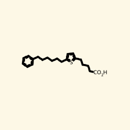 O=C(O)CCCCc1ccc(CCCCCCc2ccccc2)s1